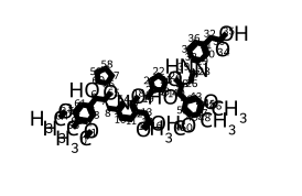 COc1cc([C@@H](O)[C@H](Cc2ccc(CC(=O)O)c(OCC3CCC(O[C@@H](Cc4nc5cc(CC(=O)O)ccc5[nH]4)[C@H](O)c4cc(OC)c(C)c(OC)c4)C3)n2)OC2CCCC2)cc(OC)c1C